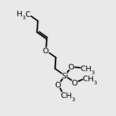 CCC=COCC[Si](OC)(OC)OC